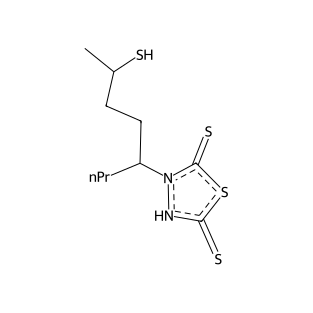 CCCC(CCC(C)S)n1[nH]c(=S)sc1=S